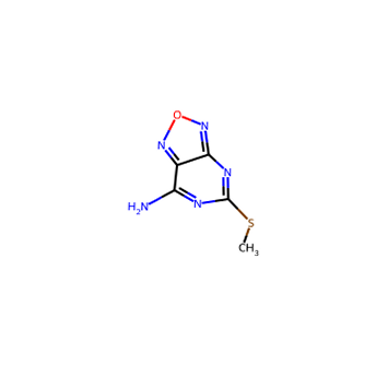 CSc1nc(N)c2nonc2n1